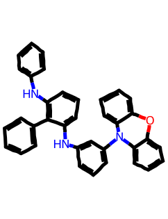 c1ccc(Nc2cccc(Nc3cccc(N4c5ccccc5Oc5ccccc54)c3)c2-c2ccccc2)cc1